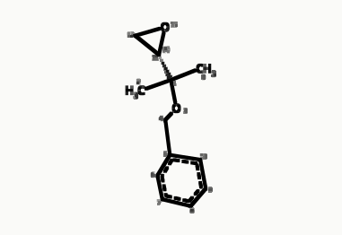 CC(C)(OCc1ccccc1)[C@@H]1CO1